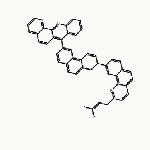 CC(C)=CCc1ccc2ccc3ccc(C4C=Cc5c(ccc6ccc(-c7c8ccccc8nc8c7ccc7cccnc78)cc56)C4)nc3c2n1